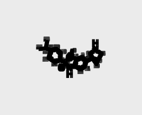 COc1cc(C23CNCC2C3)ccc1NS(=O)(=O)c1ccc(C(C)C)cc1